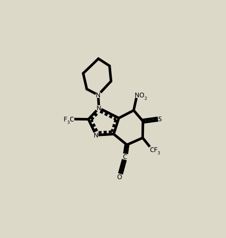 O=C=C1c2nc(C(F)(F)F)n(N3CCCCC3)c2C([N+](=O)[O-])C(=S)C1C(F)(F)F